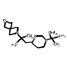 CC(C)(C)N1CCC(CC(C)(C)N2CC3(COC3)C2)OC1